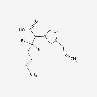 C=CCN1C=CN(C(C(=O)O)C(F)(F)CCCC)C1